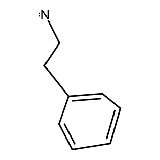 [N]CCc1ccccc1